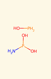 NP(O)O.OP